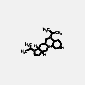 CC(C)N(CC1C[C@@H]2[C@@H](CCN2C(C)C)CN1)C1CCNCC1